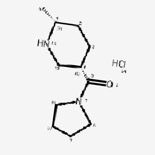 C[C@@H]1CC[C@H](C(=O)N2CCCC2)CN1.Cl